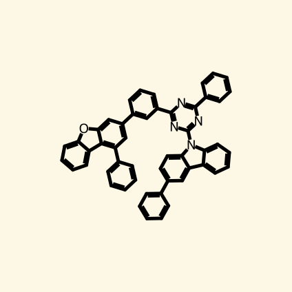 c1ccc(-c2ccc3c(c2)c2ccccc2n3-c2nc(-c3ccccc3)nc(-c3cccc(-c4cc(-c5ccccc5)c5c(c4)oc4ccccc45)c3)n2)cc1